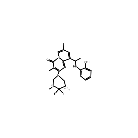 Cc1cc(C(C)Nc2ccccc2C(=O)O)c2nc(N3C[C@H](C)C(F)(F)[C@@H](C)C3)c(C)c(=O)n2c1